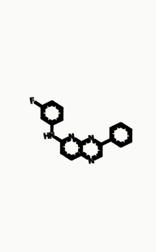 Fc1cccc(Nc2ccc3ncc(-c4ccccc4)nc3n2)c1